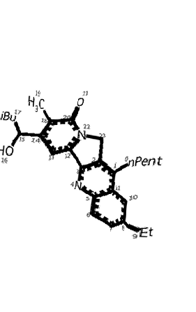 CCCCCc1c2c(nc3ccc(CC)cc13)-c1cc(C(O)C(C)CC)c(C)c(=O)n1C2